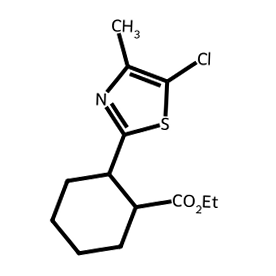 CCOC(=O)C1CCCCC1c1nc(C)c(Cl)s1